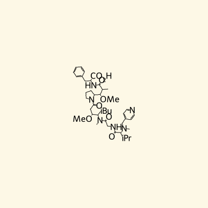 CCC(C)C(C(CC(=O)N1CCCC1C(OC)C(C)C(=O)NC(Cc1ccccc1)C(=O)O)OC)N(C)C(=O)CNC(=O)C(C(C)C)N(C)Cc1ccncc1